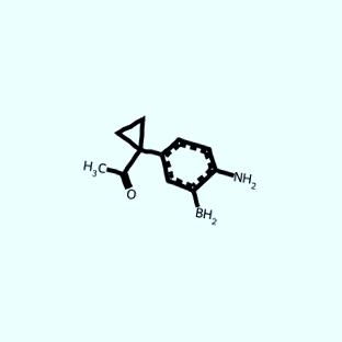 Bc1cc(C2(C(C)=O)CC2)ccc1N